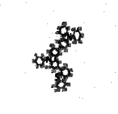 C[C@@H]1CC=CC=C1n1c2ccc(C3=CC=CC4c5ccccc5SC34)cc2c2cc(-c3ccc4c(c3)c3c(n4C4=CC=CCC4)CCC=C3)ccc21